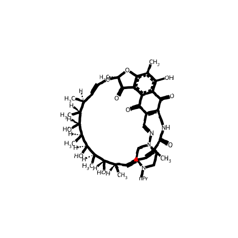 CCCN1CCN(/N=C/C2=C3NC(=O)/C(C)=C\C=C\[C@H](C)[C@H](O)[C@@H](C)[C@@H](O)[C@@H](C)[C@H](O)[C@H](C)[C@@H](C)/C=C/O[C@@]4(C)Oc5c(C)c(O)c(c(c5C4=O)C2=O)C3=O)CC1